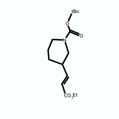 CCOC(=O)C=CC1CCCN(C(=O)OC(C)(C)C)C1